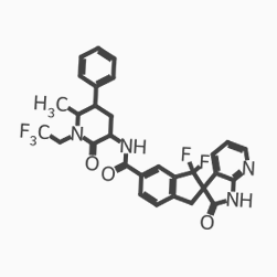 CC1C(c2ccccc2)CC(NC(=O)c2ccc3c(c2)C(F)(F)C2(C3)C(=O)Nc3ncccc32)C(=O)N1CC(F)(F)F